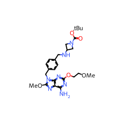 COCCOc1nc(N)c2nc(OC)n(Cc3ccc(CNC4CN(C(=O)OC(C)(C)C)C4)cc3)c2n1